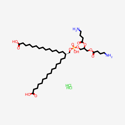 Cl.Cl.NCCCC(=O)OCC(COP(=O)(O)OC[C@H](CCCCCCCCCCCCCCC(=O)O)CCCCCCCCCCCCCC(=O)O)OC(=O)CCCN